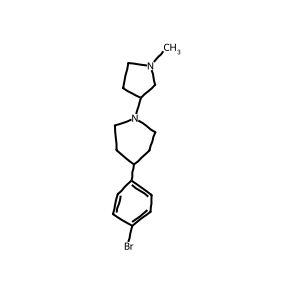 CN1CCC(N2CCC(c3ccc(Br)cc3)CC2)C1